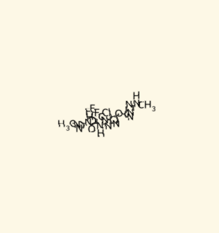 CNc1cn2ncc(Oc3cnc4nc(Nc5cc(C(F)(F)F)cn(-c6cnn(C)c6)c5=O)n(C)c4c3Cl)c2cn1